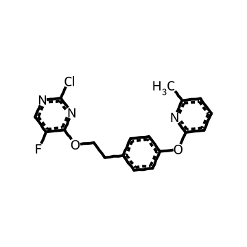 Cc1cccc(Oc2ccc(CCOc3nc(Cl)ncc3F)cc2)n1